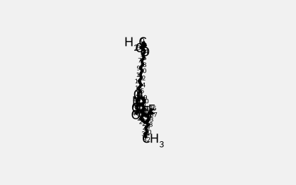 C=CC(=O)OCCCCCCCCCCCCOc1ccc2cc(-c3ccc(CCCCC)cc3C(F)(F)F)c(=O)oc2n1